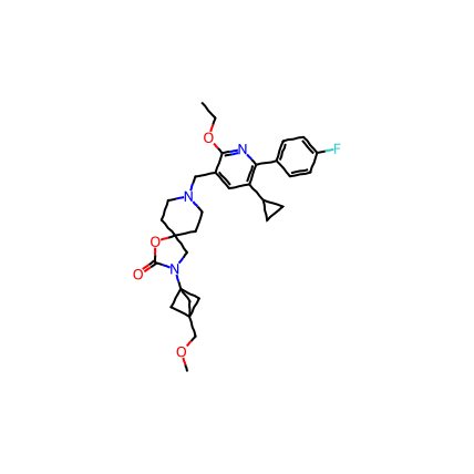 CCOc1nc(-c2ccc(F)cc2)c(C2CC2)cc1CN1CCC2(CC1)CN(C13CC(COC)(C1)C3)C(=O)O2